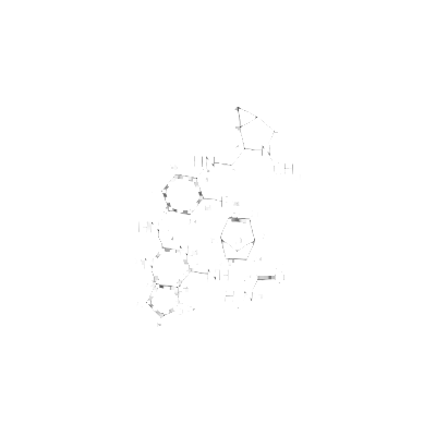 CN1CC2CC2C1CNc1ccc(Nc2nc(N[C@@H]3C4C=CC(C4)[C@@H]3C(N)=O)c3sccc3n2)cc1F